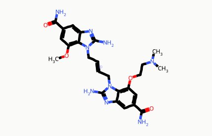 COc1cc(C(N)=O)cc2nc(N)n(C/C=C/Cn3c(N)nc4cc(C(N)=O)cc(OCCN(C)C)c43)c12